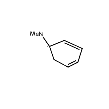 CN[C]1C=CC=CC1